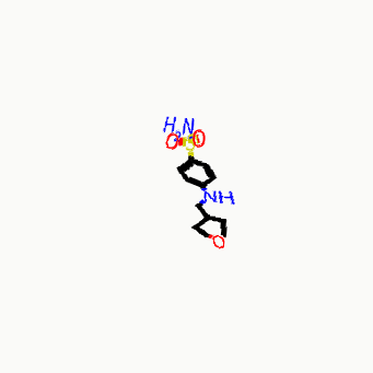 NS(=O)(=O)c1ccc(NCC2CCOCC2)cc1